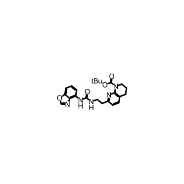 CC(C)(C)OC(=O)N1CCCc2ccc(CCNC(=O)Nc3cccc4ocnc34)nc21